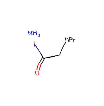 CCCCC(=O)I.N